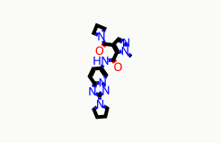 Cn1ncc(C(=O)N2CCC2)c1C(=O)Nc1ccc2nc(N3CCCC3)nn2c1